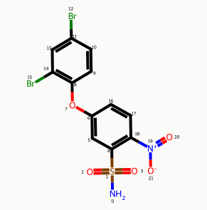 NS(=O)(=O)c1cc(Oc2ccc(Br)cc2Br)ccc1[N+](=O)[O-]